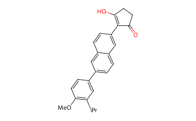 COc1ccc(-c2ccc3cc(C4=C(O)CCC4=O)ccc3c2)cc1C(C)C